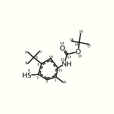 Cc1cc(S)c(C(C)(C)C)cc1NC(=O)OC(C)(C)C